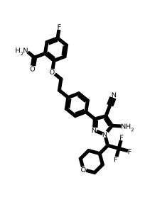 N#Cc1c(-c2ccc(CCOc3ccc(F)cc3C(N)=O)cc2)nn(C(C2CCOCC2)C(F)(F)F)c1N